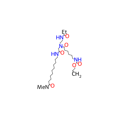 C=CCOC(=O)NCCCCCC(=O)N(CCNC(=O)CC)CC(=O)NCCCCCCCCCCC(=O)NC